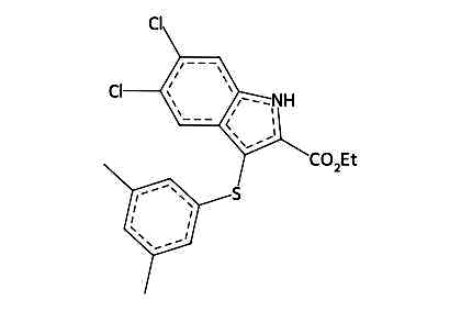 CCOC(=O)c1[nH]c2cc(Cl)c(Cl)cc2c1Sc1cc(C)cc(C)c1